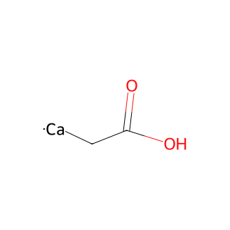 O=C(O)[CH2][Ca]